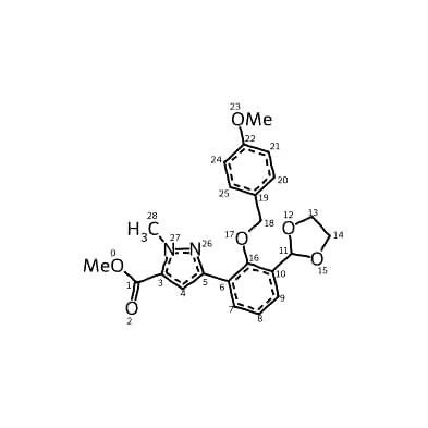 COC(=O)c1cc(-c2cccc(C3OCCO3)c2OCc2ccc(OC)cc2)nn1C